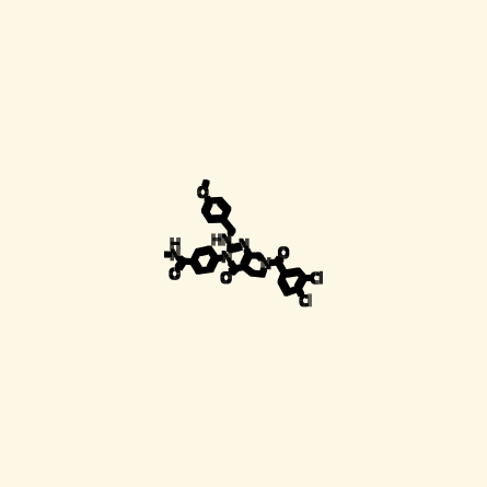 CNC(=O)c1ccc(-n2c(NCc3ccc(OC)cc3)nc3c(c2=O)CCN(C(=O)c2ccc(Cl)c(Cl)c2)C3)cc1